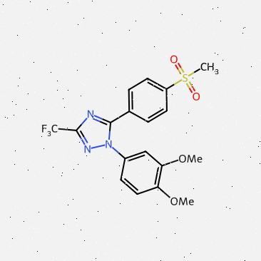 COc1ccc(-n2nc(C(F)(F)F)nc2-c2ccc(S(C)(=O)=O)cc2)cc1OC